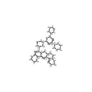 c1ccc(-c2cc(-c3cccc(-c4nc5ccccc5c5nc6c(ccc7cccnc76)cc45)c3)nc(-c3ccccc3)n2)cc1